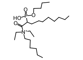 CCCCCCCCC(C(=O)[N+](CC)(CC)CCCCCC)P(=O)(O)OCCCC